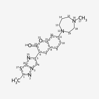 Cc1nn2cc(-c3cc4ccc(N5CCCN(C)CC5)cc4oc3=O)nc2s1